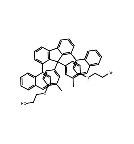 Cc1cc(C2(c3ccc(OCCO)c(C)c3)c3c(cccc3-c3cccc4ccccc34)-c3cccc(-c4cccc5ccccc45)c32)ccc1OCCO